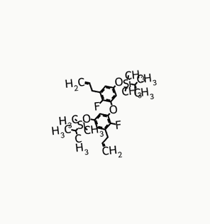 C=CCc1cc(O[Si](C)(C)C(C)C)cc(Oc2cc(O[Si](C)(C)C(C)C)cc(CC=C)c2F)c1F